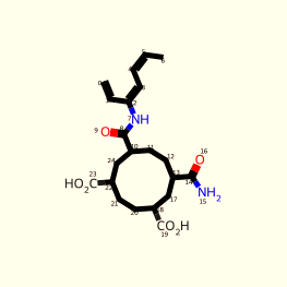 C=C/C(=C\C=C/C)NC(=O)C1CCC(C(N)=O)CC(C(=O)O)CCC(C(=O)O)C1